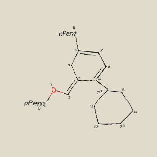 CCCCCO/C=C1\CC(CCCCC)=CC=C1C1CCCCC1